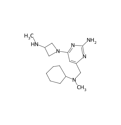 CNC1CN(c2cc(CN(C)C3CCCCC3)nc(N)n2)C1